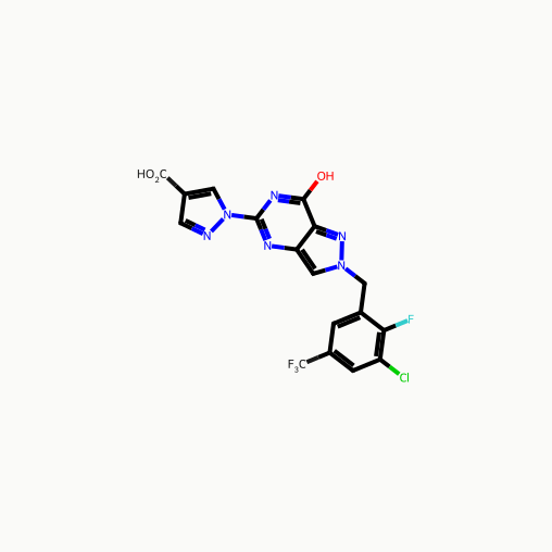 O=C(O)c1cnn(-c2nc(O)c3nn(Cc4cc(C(F)(F)F)cc(Cl)c4F)cc3n2)c1